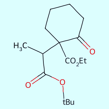 CCOC(=O)C1(C(C)C(=O)OC(C)(C)C)CCCCC1=O